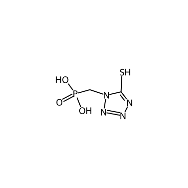 O=P(O)(O)Cn1nnnc1S